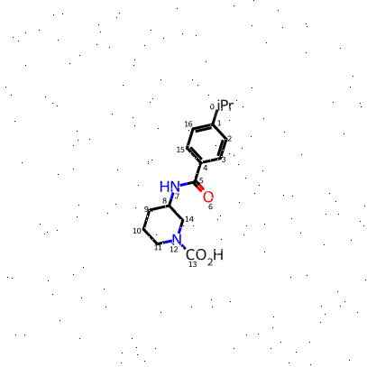 CC(C)c1ccc(C(=O)NC2CCCN(C(=O)O)C2)cc1